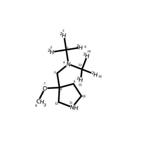 [2H]C([2H])([2H])N(CC1(OC)CCNC1)C([2H])([2H])[2H]